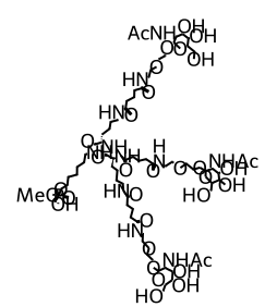 COP(=O)(O)OCCCCCCNC(=O)[C@H](CCCCNC(=O)CCCC(=O)NCCOCCOC1OC(CO)C(O)C(O)C1NC(C)=O)NC(=O)[C@H](CCCCNC(=O)CCCC(=O)NCCOCCOC1OC(CO)C(O)C(O)C1NC(C)=O)NC(=O)CCCC(=O)NCCOCCOC1OC(CO)C(O)C(O)C1NC(C)=O